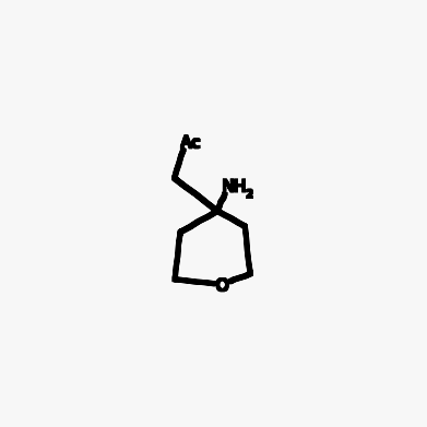 CC(=O)CC1(N)CCOCC1